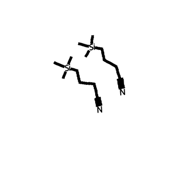 C[Si](C)(C)CCCC#N.C[Si](C)(C)CCCC#N